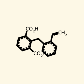 C=Cc1ccccc1Cc1c(C(=O)O)cccc1C(=O)O